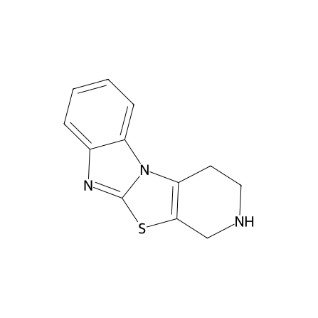 c1ccc2c(c1)nc1sc3c(n12)CCNC3